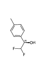 Cc1ccc([C@@H](O)C(F)F)cc1